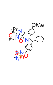 COc1ccc2c(c1)C1CN(C(C)C)CC1(C(=O)N1C[C@@H](C)O[C@@H](C)C1)Cn1c-2c(C2CCCCC2)c2ccc(C(=O)NS(=O)(=O)N(C)C)cc21